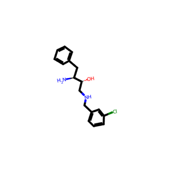 N[C@@H](Cc1ccccc1)[C@H](O)CNCc1cccc(Cl)c1